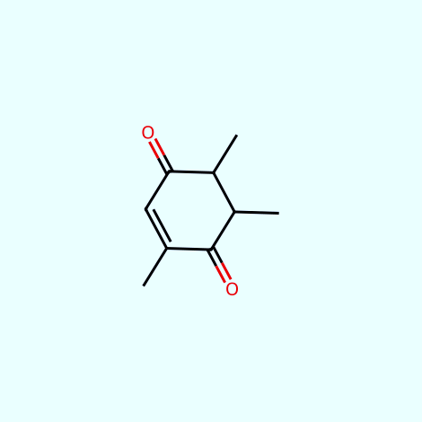 CC1=CC(=O)C(C)C(C)C1=O